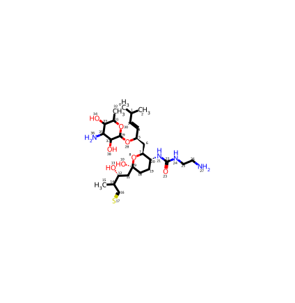 CC(C)/C=C/[C@@H](C[C@@H]1O[C@](O)(C[C@@H](O)C(C)C=S)CC[C@H]1NC(=O)NCCN)OC1OC(C)C(O)C(N)C1O